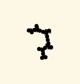 CN1C(c2ccccc2)=CC(c2ccc(-c3ccc(-c4ccc5c(c4)nc(-c4ccc(-c6nc(-c7ccccc7)cc(-c7ccc(-n8c9ccccc9c9ccccc98)cc7)n6)cc4)c4sc6c(c45)=CCC=CC=6)cc3)cc2)=NC1c1ccc(-c2ccc(-c3nc4cc(-c5cccc6c7c(oc56)CCC=C7)ccc4c4c3sc3ccccc34)cc2)cc1